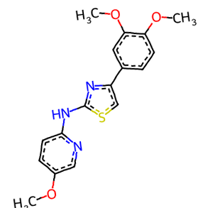 COc1ccc(Nc2nc(-c3ccc(OC)c(OC)c3)cs2)nc1